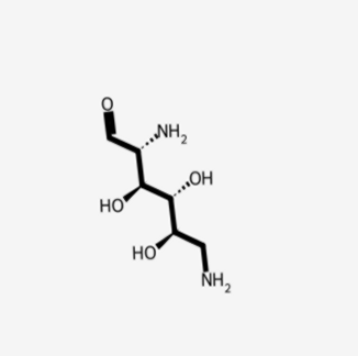 NC[C@@H](O)[C@@H](O)[C@@H](O)[C@@H](N)C=O